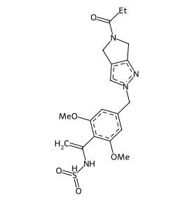 C=C(N[SH](=O)=O)c1c(OC)cc(Cn2cc3c(n2)CN(C(=O)CC)C3)cc1OC